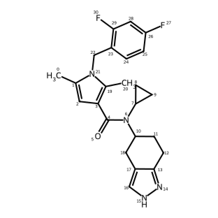 Cc1cc(C(=O)N(C2CC2)C2CCc3n[nH]cc3C2)c(C)n1Cc1ccc(F)cc1F